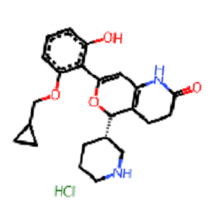 Cl.O=C1CCC2=C(C=C(c3c(O)cccc3OCC3CC3)OC2[C@H]2CCCNC2)N1